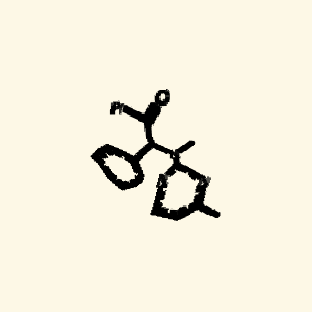 Cc1ccnc(N(C)C(C(=O)C(C)C)c2ccccc2)n1